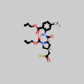 C=CCOC(=O)c1ccc(C(F)(F)F)cc1NC(=O)[C@@H]1C[C@@H](CC(=O)S)CN1C(=O)OCC=C